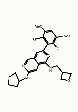 COc1cc(OC)c(Cl)c(-c2cc3cnc(NC4CCOC4)cc3c(NCC3COC3)n2)c1Cl